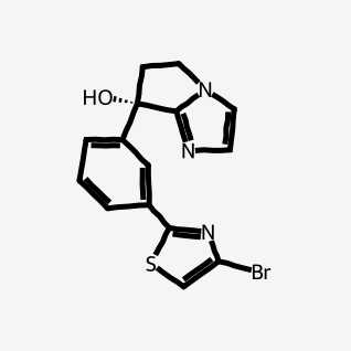 O[C@]1(c2cccc(-c3nc(Br)cs3)c2)CCn2ccnc21